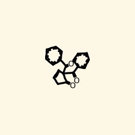 O=C1CC=CC1(C(=O)c1ccccc1)C(=O)c1ccccc1